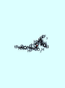 CC(C)(C)CC(=O)N[C@H]1CC[C@@H](CNC(=O)C(=O)NC[C@H](NC(=O)c2ccc(Nc3nc(NC4(c5ccc(Cl)cc5)CC4)nc(OCC(F)(F)F)n3)cc2)C(=O)O)CC1